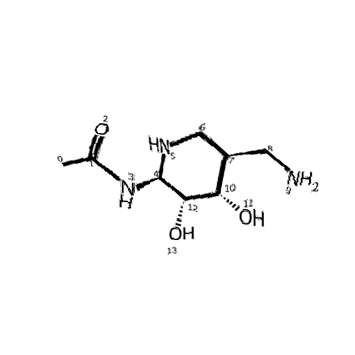 CC(=O)N[C@H]1NC[C@@H](CN)[C@H](O)[C@@H]1O